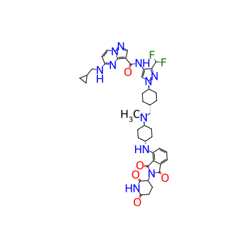 CN(C[C@H]1CC[C@H](n2cc(NC(=O)c3cnn4ccc(NCC5CC5)nc34)c(C(F)F)n2)CC1)[C@H]1CC[C@H](Nc2cccc3c2C(=O)N(C2CCC(=O)NC2=O)C3=O)CC1